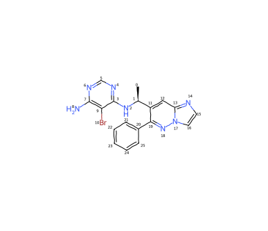 C[C@H](Nc1ncnc(N)c1Br)c1cc2nccn2nc1-c1ccccc1